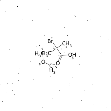 CC(C)(Br)C(=O)O.COC